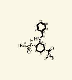 CN(C)C(=O)[C@H]1CC[C@H](N[S@@+]([O-])C(C)(C)C)[C@H](NCc2ccccc2)C1